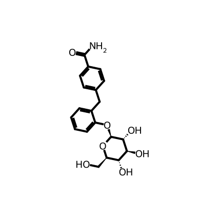 NC(=O)c1ccc(Cc2ccccc2O[C@@H]2O[C@H](CO)[C@@H](O)[C@H](O)[C@H]2O)cc1